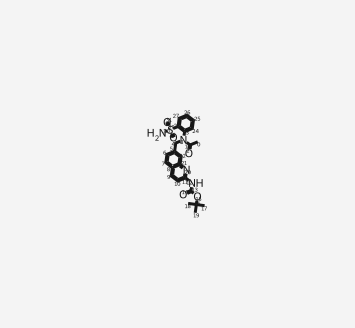 CC(=O)N(Cc1ccc2ccc(NC(=O)OC(C)(C)C)nc2c1)c1ccccc1S(N)(=O)=O